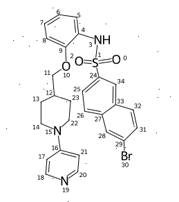 O=S(=O)(Nc1ccccc1OCC1CCN(c2ccncc2)CC1)c1ccc2cc(Br)ccc2c1